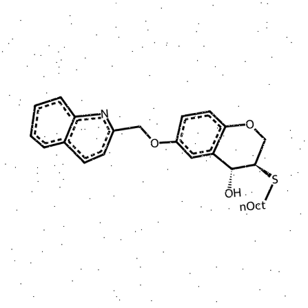 CCCCCCCCS[C@@H]1COc2ccc(OCc3ccc4ccccc4n3)cc2[C@H]1O